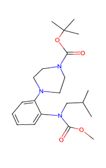 COC(=O)N(CC(C)C)c1ccccc1N1CCN(C(=O)OC(C)(C)C)CC1